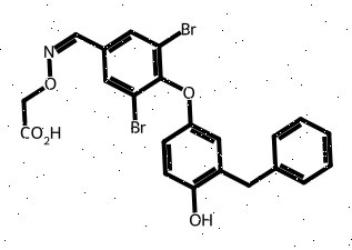 O=C(O)CO/N=C\c1cc(Br)c(Oc2ccc(O)c(Cc3ccccc3)c2)c(Br)c1